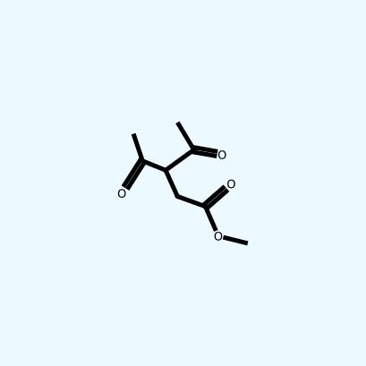 COC(=O)CC(C(C)=O)C(C)=O